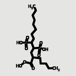 CCCCCCCCC(C(CC(CCCCC)C(=O)OO)S(=O)(=O)O)S(=O)(=O)O